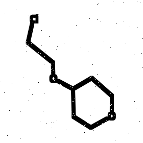 ClCCOC1CCOCC1